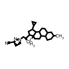 CC1CCC2C(CCC3C2CCC2(C)C(C(=O)Cn4ccc(C#N)n4)CC(C4CC4)C32)C1